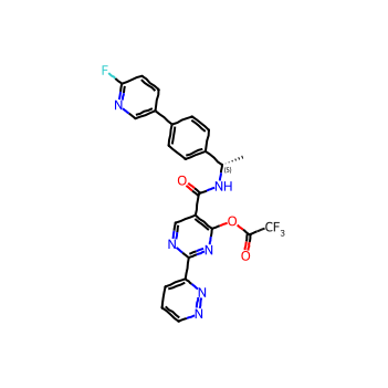 C[C@H](NC(=O)c1cnc(-c2cccnn2)nc1OC(=O)C(F)(F)F)c1ccc(-c2ccc(F)nc2)cc1